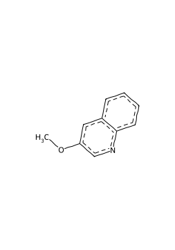 COc1cnc2ccccc2c1